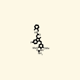 COc1cc(/C=C2/C(C)=C(CC(=O)NCc3ccccc3C)c3cc(F)ccc32)cc(OC)c1NC(N)=O